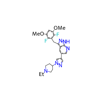 CCN1CCC(n2cc(-c3cnc4[nH]nc(Cc5c(F)c(OC)cc(OC)c5F)c4c3)cn2)CC1